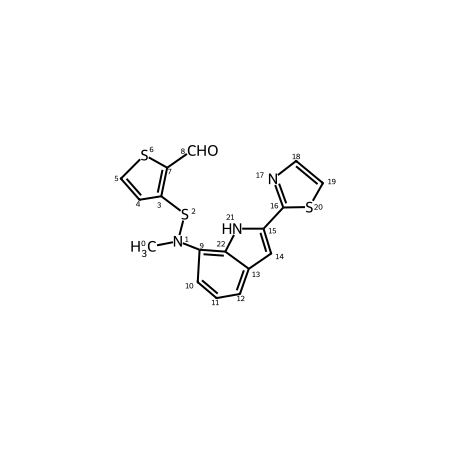 CN(Sc1ccsc1C=O)c1cccc2cc(-c3nccs3)[nH]c12